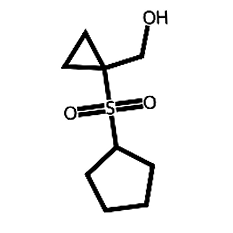 O=S(=O)(C1CCCC1)C1(CO)CC1